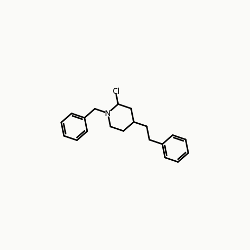 ClC1CC(CCc2ccccc2)CCN1Cc1ccccc1